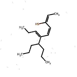 C\C=C(S)/C=C\C(=C\CC)C(CCC)CCC